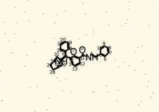 O=C(NCCc1ccccc1)c1cccc2c1Oc1ccccc1C2=C1CC2CCC(C1)N2